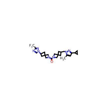 Cc1cc(C2CC2)nn1CC1CC2(C1)CN(C(=O)N1CC3(CC(n4cnc(C(F)(F)F)n4)C3)C1)C2